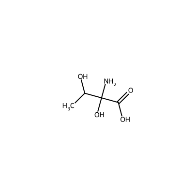 CC(O)C(N)(O)C(=O)O